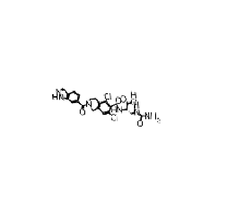 NC(=O)NC[C@H](NC(=O)c1c(Cl)cc2c(c1Cl)CCN(C(=O)c1ccc3cn[nH]c3c1)C2)C(=O)O